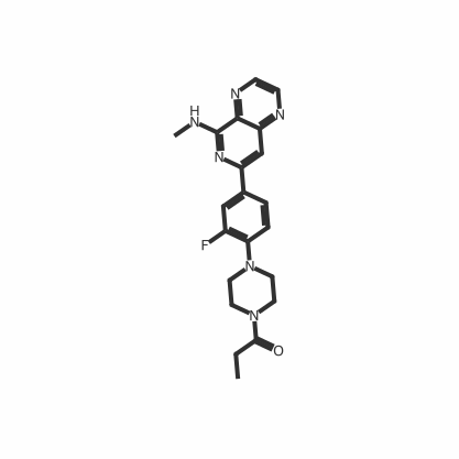 CCC(=O)N1CCN(c2ccc(-c3cc4nccnc4c(NC)n3)cc2F)CC1